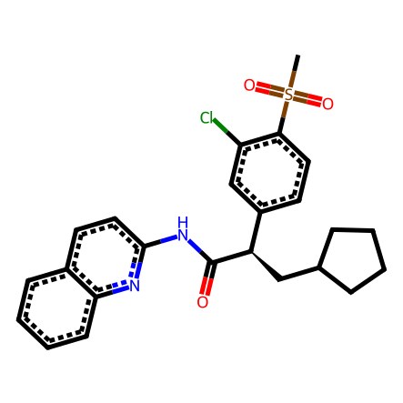 CS(=O)(=O)c1ccc([C@@H](CC2CCCC2)C(=O)Nc2ccc3ccccc3n2)cc1Cl